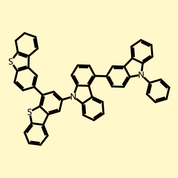 C1=Cc2c(sc3ccc(-c4cc(-n5c6ccccc6c6c(-c7ccc8c(c7)c7ccccc7n8-c7ccccc7)cccc65)cc5c4sc4ccccc45)cc23)CC1